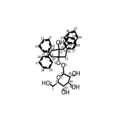 OC[C@H]1OC(OOC(Cc2ccccc2)(Cc2ccccc2)C(O)(Cc2ccccc2)Cc2ccccc2)[C@H](O)[C@@H](O)[C@@H]1O